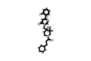 CC1(C)CN(C(=O)CCC2CCCCC2)CCC1(O)Cn1cnc(-c2ccccc2F)cc1=O